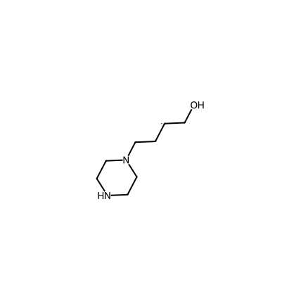 OC[CH]CCN1CCNCC1